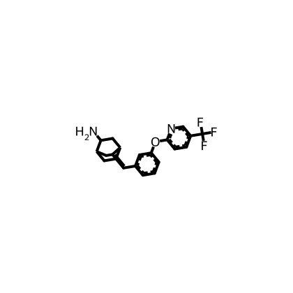 NC1CC2CCC1CC2=Cc1cccc(Oc2ccc(C(F)(F)F)cn2)c1